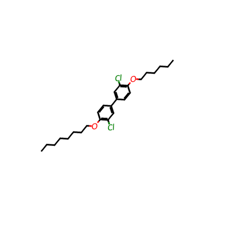 CCCCCCCCOc1ccc(-c2ccc(OCCCCCC)c(Cl)c2)cc1Cl